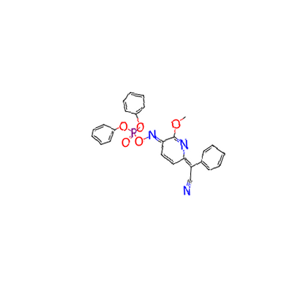 COC1=NC(=C(/C#N)c2ccccc2)/C=CC/1=N\OP(=O)(Oc1ccccc1)Oc1ccccc1